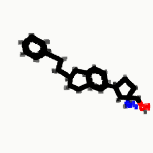 N[C@]1(CO)CC[C@H](c2ccc3c(c2)CCC(CCc2ccccc2)C3)C1